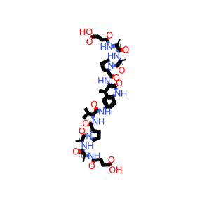 CC(C)C(NC(=O)C1CCCN1C(=O)[C@H](C)NC(=O)[C@H](C)NC(=O)CCC(=O)O)C(=O)Nc1ccc2c(c1)C(C)[C@H](NC(=O)C1CCCN1C(=O)[C@H](C)NC(=O)[C@H](C)NC(=O)CCC(=O)O)C(=O)N2